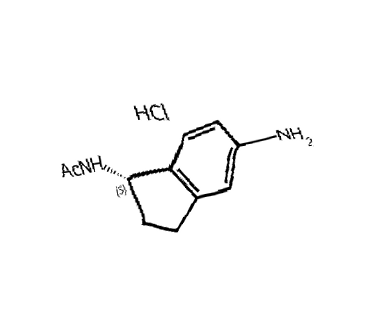 CC(=O)N[C@H]1CCc2cc(N)ccc21.Cl